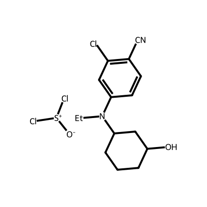 CCN(c1ccc(C#N)c(Cl)c1)C1CCCC(O)C1.[O-][S+](Cl)Cl